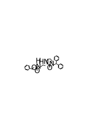 O=C(NCCC[C@@H]1NCCCN(CC(c2ccccc2)c2ccccc2)C1=O)OCc1ccccc1